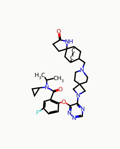 CC(C)N(C(=O)c1cc(F)ccc1Oc1nncnc1N1CC2(CCN(CC3CC4CCC3CC43CCC(=O)N3)CC2)C1)C1CC1